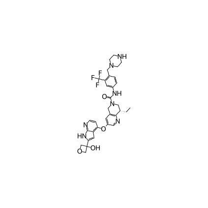 CC[C@H]1CN(C(=O)Nc2ccc(CN3CCNCC3)c(C(F)(F)F)c2)Cc2cc(Oc3ccnc4[nH]c(C5(O)COC5)cc34)cnc21